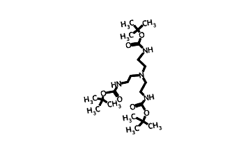 CC(C)(C)OC(=O)NCCN(CCNC(=O)OC(C)(C)C)CCNC(=O)OC(C)(C)C